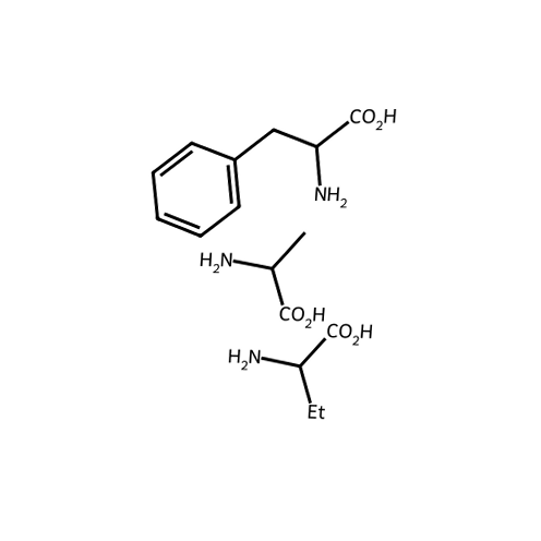 CC(N)C(=O)O.CCC(N)C(=O)O.NC(Cc1ccccc1)C(=O)O